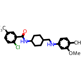 COc1cc(NCC2CCC(NC(=O)c3cc(C(F)(F)F)ccc3Cl)CC2)ccc1C